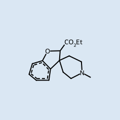 CCOC(=O)C1Oc2ccccc2C12CCN(C)CC2